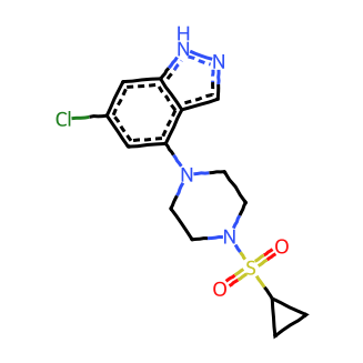 O=S(=O)(C1CC1)N1CCN(c2cc(Cl)cc3[nH]ncc23)CC1